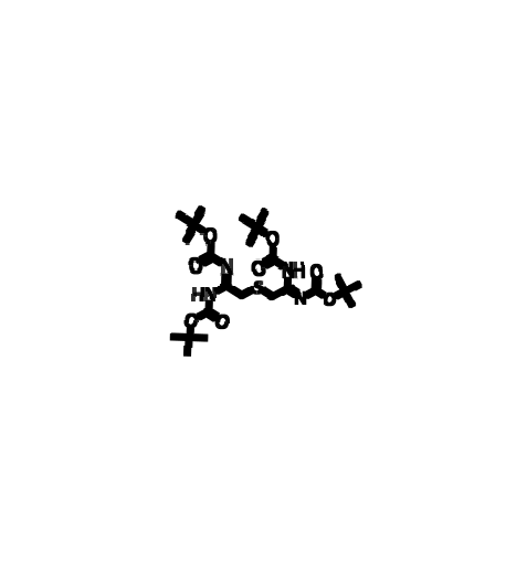 CC(C)(C)OC(=O)N=C(CSCC(=NC(=O)OC(C)(C)C)NC(=O)OC(C)(C)C)NC(=O)OC(C)(C)C